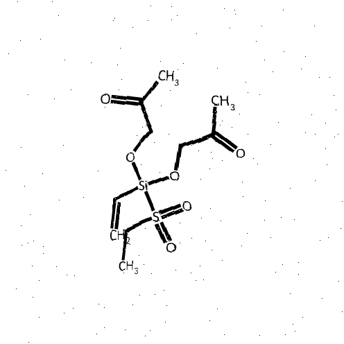 C=C[Si](OCC(C)=O)(OCC(C)=O)S(=O)(=O)CC